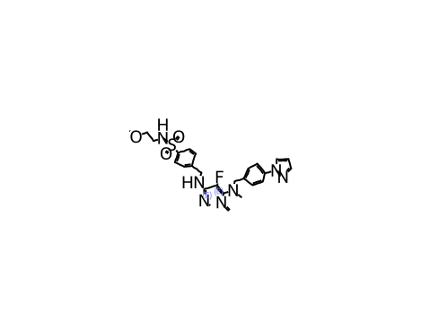 C=N/C(=C(F)\C(=N/C)NCc1ccc(S(=O)(=O)NCCOC)cc1)N(C)Cc1ccc(-n2cccn2)cc1